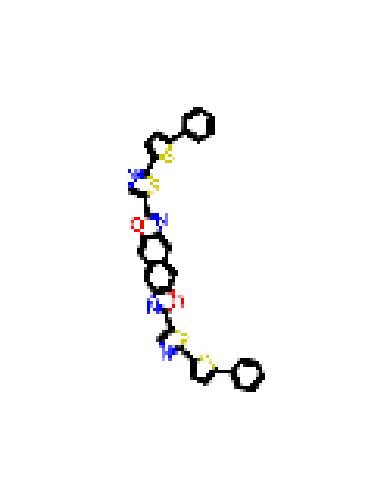 c1ccc(-c2ccc(-c3ncc(-c4nc5cc6cc7oc(-c8cnc(-c9ccc(-c%10ccccc%10)s9)s8)nc7cc6cc5o4)s3)s2)cc1